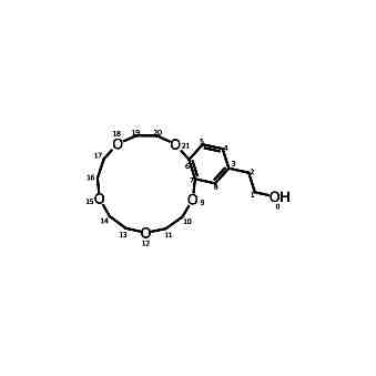 OCCc1ccc2c(c1)OCCOCCOCCOCCO2